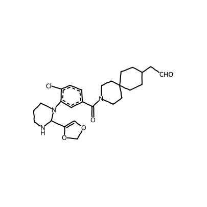 O=CCC1CCC2(CC1)CCN(C(=O)c1ccc(Cl)c(N3CCCNC3C3=COCO3)c1)CC2